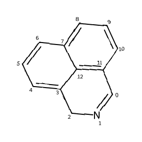 C1=NCc2cccc3cccc1c23